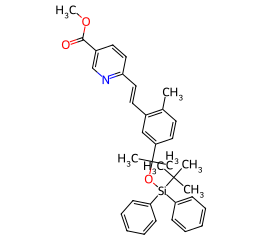 COC(=O)c1ccc(C=Cc2cc(C(C)(C)O[Si](c3ccccc3)(c3ccccc3)C(C)(C)C)ccc2C)nc1